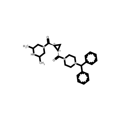 CC1CN(C(=O)[C@H]2C[C@@H]2C(=O)N2CCN(C(c3ccccc3)c3ccccc3)CC2)CC(C)N1